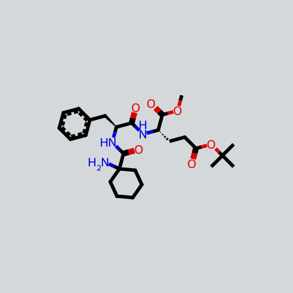 COC(=O)[C@H](CCC(=O)OC(C)(C)C)NC(=O)[C@H](Cc1ccccc1)NC(=O)C1(N)CCCCC1